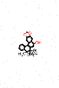 COC1(C(C)C)c2cc(O)c3cc4c(cc3c2-c2ccccc2C1(C)C)OCO4